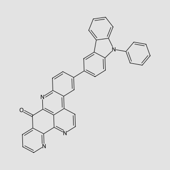 O=C1c2cccnc2-c2nccc3c2c1nc1ccc(-c2ccc4c(c2)c2ccccc2n4-c2ccccc2)cc13